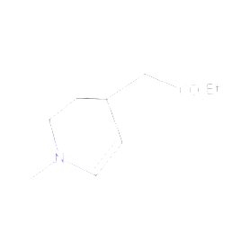 CCOC(=O)CC1C=CN(C)CC1